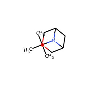 CC(C)(C)N1C2COCC1C2